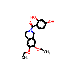 CCOc1cc2c(cc1OCC)CN(C(=O)c1ccc(O)cc1O)CC2